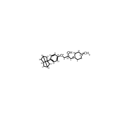 CN1CCN(C[C@H](O)COc2ccc(C34CC5CC3CC5C4)cc2)CC1